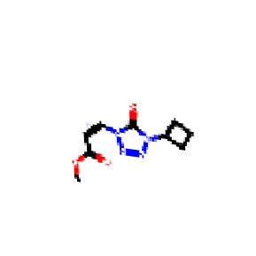 COC(=O)/C=C\n1nnn(C2CCC2)c1=O